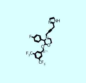 C[C@@H](OC1OCCN(CC#CCc2ncc[nH]2)C1c1ccc(F)cc1)c1cc(C(F)(F)F)cc(C(F)(F)F)c1